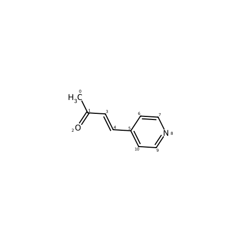 CC(=O)C=Cc1ccncc1